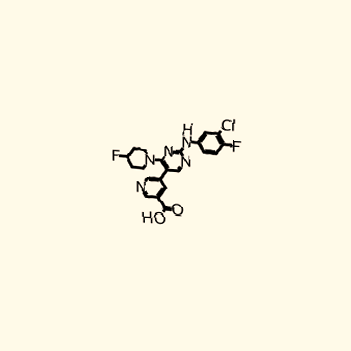 O=C(O)c1cncc(-c2cnc(Nc3ccc(F)c(Cl)c3)nc2N2CCC(F)CC2)c1